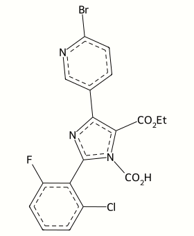 CCOC(=O)c1c(-c2ccc(Br)nc2)nc(-c2c(F)cccc2Cl)n1C(=O)O